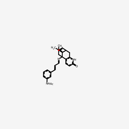 C/C=C1\C2C=C(C)CC1(/N=C/C=C/c1cccc(NC(C)=O)c1)c1ccc(=O)[nH]c1C2